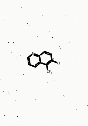 FC(F)(F)c1c(Cl)ccc2ncccc12